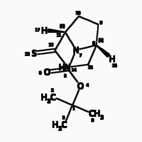 CC(C)(C)OC(=O)N1[C@@H]2CC[C@H]1C(=S)NC2